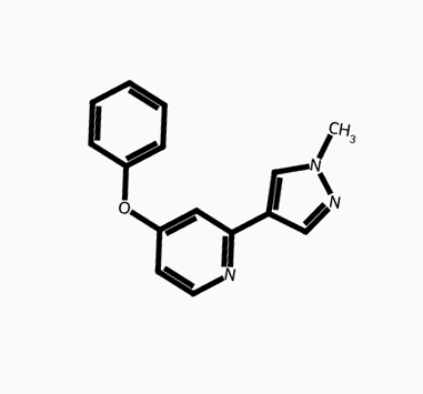 Cn1cc(-c2cc(Oc3ccccc3)ccn2)cn1